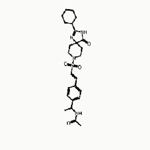 CC(=O)NC(C)c1ccc(C=CS(=O)(=O)N2CCC3(CC2)N=C(C2CCCCC2)NC3=O)cc1